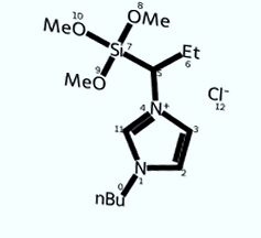 CCCCn1cc[n+](C(CC)[Si](OC)(OC)OC)c1.[Cl-]